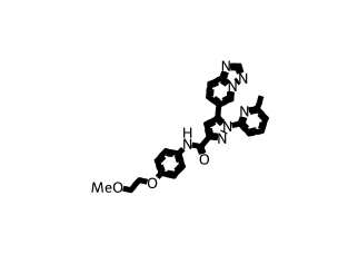 COCCOc1ccc(NC(=O)c2cc(-c3ccc4ncnn4c3)n(-c3cccc(C)n3)n2)cc1